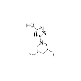 CCC1CC(CC)CN(c2nc(O)ns2)C1